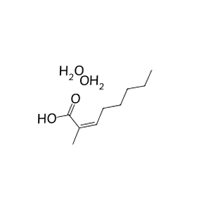 CCCCCC=C(C)C(=O)O.O.O